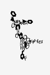 CCCCCCC(=O)N[C@](O)(CNC(=O)c1ccc(C(=O)N2C[C@@H](C(=O)N[C@H]3C[C@@H]3c3ccccc3)[C@H](C(=O)N[C@H]3C[C@@H]3c3ccccc3)C2)cc1)C(=O)NCCc1cccc(F)c1